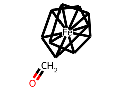 C=O.[CH]12[CH]3[CH]4[CH]5[CH]1[Fe]23451678[CH]2[CH]1[CH]6[CH]7[CH]28